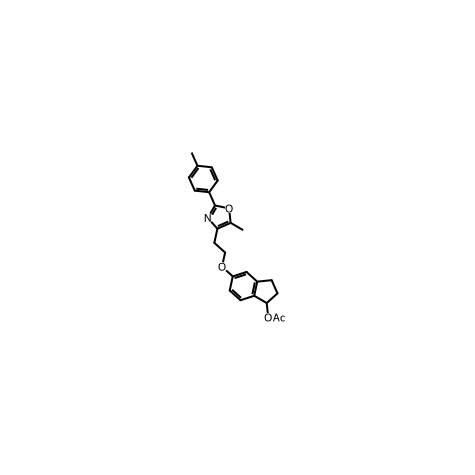 CC(=O)OC1CCc2cc(OCCc3nc(-c4ccc(C)cc4)oc3C)ccc21